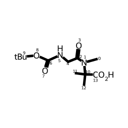 CN(C(=O)CNC(=O)OC(C)(C)C)C(C)(C)C(=O)O